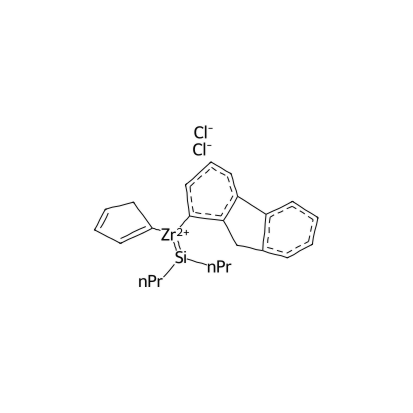 CCC[Si](CCC)=[Zr+2]([C]1=CC=CC1)[c]1cccc2c1Cc1ccccc1-2.[Cl-].[Cl-]